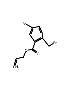 C=CCOC(=O)c1cc(Br)ccc1CBr